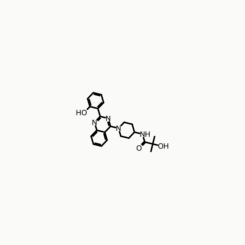 CC(C)(O)C(=O)NC1CCN(c2nc(-c3ccccc3O)nc3ccccc23)CC1